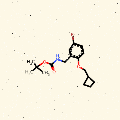 CC(C)(C)OC(=O)NCc1cc(Br)ccc1OCC1CCC1